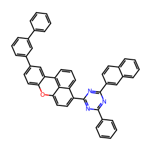 c1ccc(-c2cccc(-c3ccc4c(c3)-c3cccc5c(-c6nc(-c7ccccc7)nc(-c7ccc8ccccc8c7)n6)ccc(c35)O4)c2)cc1